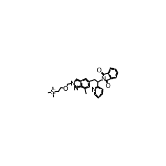 Cc1cc(CC(c2ccccn2)N2C(=O)c3ccccc3C2=O)cc2cn(COCC[Si](C)(C)C)nc12